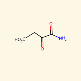 NC(=O)C(=O)CC(=O)O